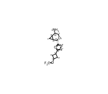 N[C@H]1CO[C@H](c2nnc(C3CC(OC(F)(F)F)C3)o2)C2CC21